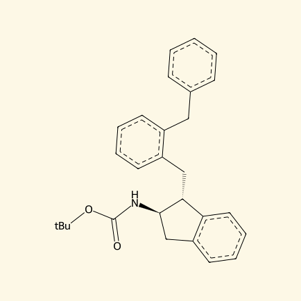 CC(C)(C)OC(=O)N[C@@H]1Cc2ccccc2[C@H]1Cc1ccccc1Cc1ccccc1